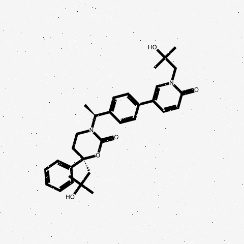 C[C@@H](c1ccc(-c2ccc(=O)n(CC(C)(C)O)c2)cc1)N1CC[C@](CC(C)(C)O)(c2ccccc2)OC1=O